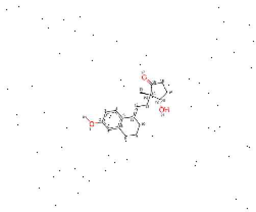 COc1ccc2c(c1)CCCC2=CC[C@]1(C)C(=O)CC[C@@H]1O